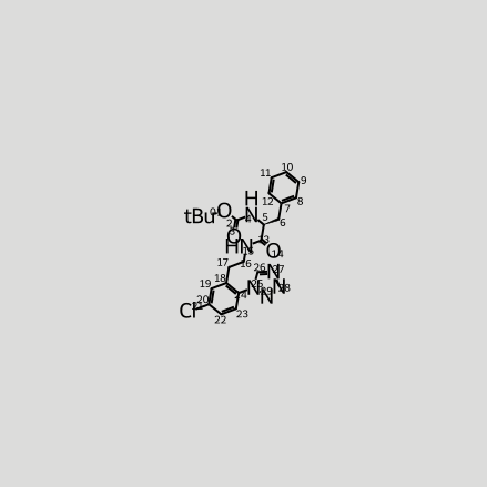 CC(C)(C)OC(=O)N[C@@H](Cc1ccccc1)C(=O)NCCc1cc(Cl)ccc1-n1cnnn1